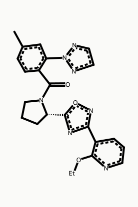 CCOc1ncccc1-c1noc([C@@H]2CCCN2C(=O)c2ccc(C)cc2-n2nccn2)n1